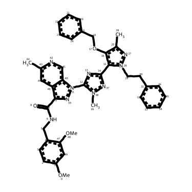 COc1ccc(CNC(=O)c2nn(-c3nc(-c4c(OCc5ccccc5)c(C)nn4CCc4ccccc4)nn3C)c3cnc(C)cc23)c(OC)c1